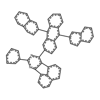 c1ccc(-c2nc(-c3ccc4c(-c5ccc6ccccc6c5)c5ccccc5c(-c5ccc6ccccc6c5)c4c3)c3c(n2)-c2cccc4cccc-3c24)cc1